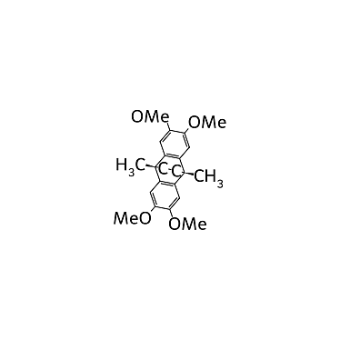 COc1cc2c(cc1OC)[C@]1(C)CC[C@@]2(C)c2cc(OC)c(OC)cc21